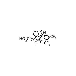 CN(C1CCCc2c1cc(Cl)c(F)c2OCC(=O)O)S(=O)(=O)c1cc(C(F)(F)F)cc(C(F)(F)F)c1